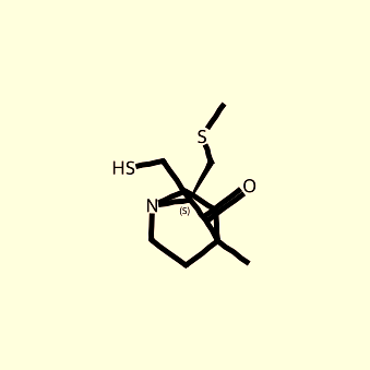 CSC[C@@]1(CS)C(=O)C2(C)CCN1CC2